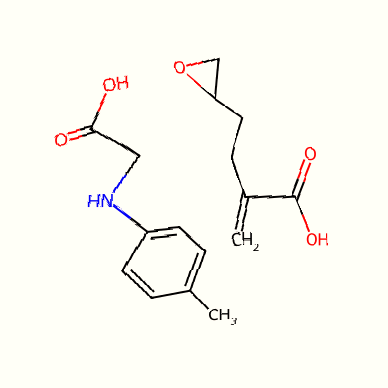 C=C(CCC1CO1)C(=O)O.Cc1ccc(NCC(=O)O)cc1